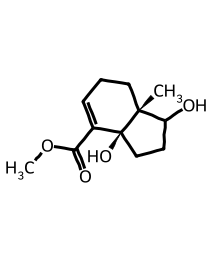 COC(=O)C1=CCC[C@]2(C)C(O)CC[C@]12O